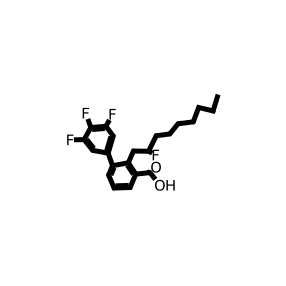 CCCCCCCC(F)Cc1c(C(=O)O)cccc1-c1cc(F)c(F)c(F)c1